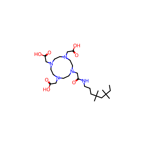 CCC(C)(C)CC(C)(C)CCCNC(=O)CN1CCN(CC(=O)O)CCN(CC(=O)O)CCN(CC(=O)O)CC1